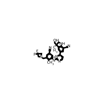 Cc1c(CN2CC(F)(F)C2)cc(C#N)cc1Nc1nccc(-c2cc(C#N)c3c(c2)[C@@](C)(CO)CN3)n1